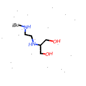 CCC(C)NCCNC(CO)CO